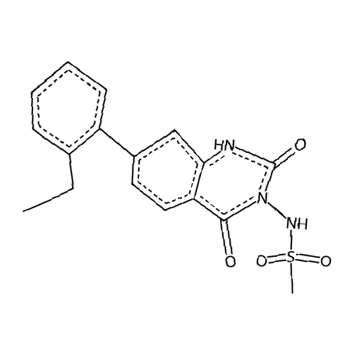 CCc1ccccc1-c1ccc2c(=O)n(NS(C)(=O)=O)c(=O)[nH]c2c1